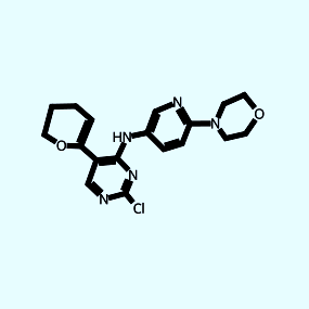 Clc1ncc(C2=CCCCO2)c(Nc2ccc(N3CCOCC3)nc2)n1